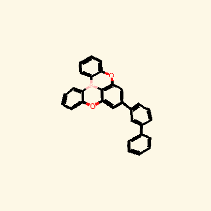 c1ccc(-c2cccc(-c3cc4c5c(c3)Oc3ccccc3B5c3ccccc3O4)c2)cc1